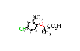 CC(Oc1ccc(Cl)cc1[N+](=O)[O-])C(=O)O